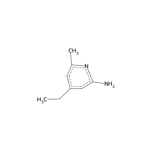 CCc1[c]c(C)nc(N)c1